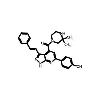 CC1(C)CN(C(=O)c2cc(-c3ccc(O)cc3)nc3[nH]nc(C=Cc4ccccc4)c23)CCN1